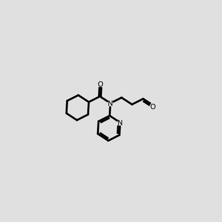 O=CCCN(C(=O)C1CCCCC1)c1ccccn1